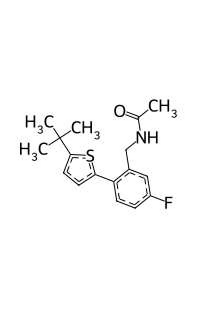 CC(=O)NCc1cc(F)ccc1-c1ccc(C(C)(C)C)s1